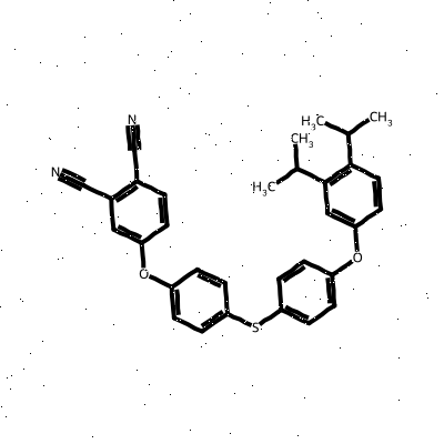 CC(C)c1ccc(Oc2ccc(Sc3ccc(Oc4ccc(C#N)c(C#N)c4)cc3)cc2)cc1C(C)C